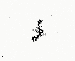 COc1c(C(=O)NCc2ccco2)ccc2[nH]nc(/C=C/c3cccnc3)c12